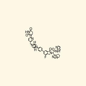 O=C1CCN(c2ccc(CN3C[C@H]4C[C@@H]3CN4c3ccc(-c4cc(F)c5c(c4)C(=O)N(C(C(=O)Nc4nccs4)c4ncn6c4CCC6)C5)cc3)cn2)C(=O)N1